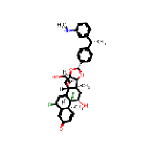 CNc1cccc([C@H](C)c2ccc([C@H]3O[C@@H]4C[C@H]5[C@@H]6C[C@H](F)C7=CC(=O)C=C[C@]7(C)[C@@]6(F)[C@@H](O)C[C@]5(C)[C@]4(C(=O)CO)O3)cc2)c1